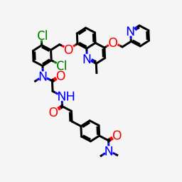 Cc1cc(OCc2ccccn2)c2cccc(OCc3c(Cl)ccc(N(C)C(=O)CNC(=O)/C=C/c4ccc(C(=O)N(C)C)cc4)c3Cl)c2n1